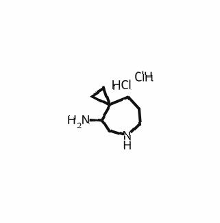 Cl.Cl.NC1CNCCCC12CC2